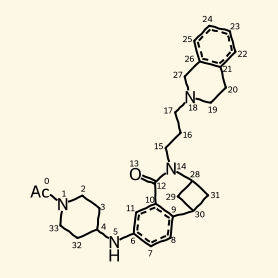 CC(=O)N1CCC(Nc2ccc3c(c2)C(=O)N(CCCN2CCc4ccccc4C2)C2CC3C2)CC1